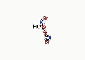 C#C/C(=C\N=C/CBr)OCCCOCc1cncc(Br)c1